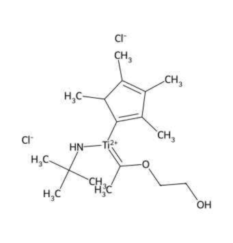 CC1=C(C)C(C)[C](/[Ti+2]([NH]C(C)(C)C)=[C](/C)OCCO)=C1C.[Cl-].[Cl-]